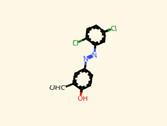 O=Cc1cc(N=Nc2cc(Cl)ccc2Cl)ccc1O